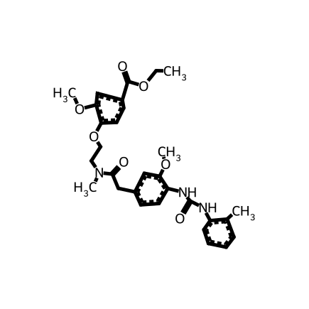 CCOC(=O)c1ccc(OCCN(C)C(=O)Cc2ccc(NC(=O)Nc3ccccc3C)c(OC)c2)c(OC)c1